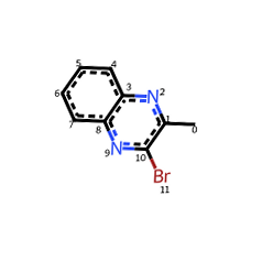 Cc1nc2ccccc2nc1Br